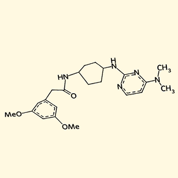 COc1cc(CC(=O)NC2CCC(Nc3nccc(N(C)C)n3)CC2)cc(OC)c1